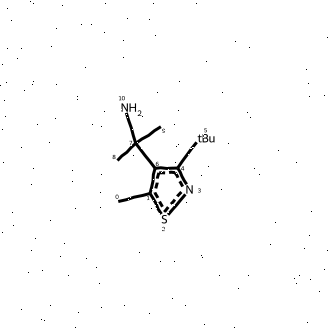 Cc1snc(C(C)(C)C)c1C(C)(C)N